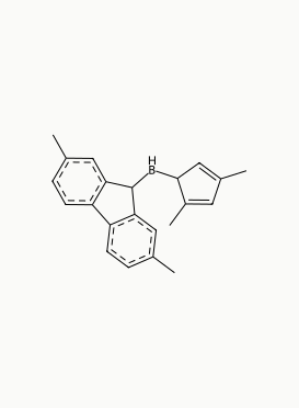 CC1=CC(BC2c3cc(C)ccc3-c3ccc(C)cc32)C(C)=C1